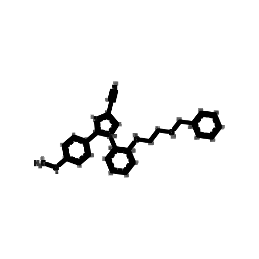 COc1ccc(-c2nc(C#N)cn2-c2ccccc2OCCOCc2ccccc2)cc1